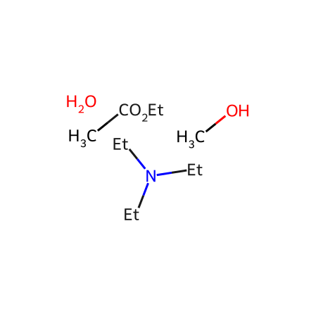 CCN(CC)CC.CCOC(C)=O.CO.O